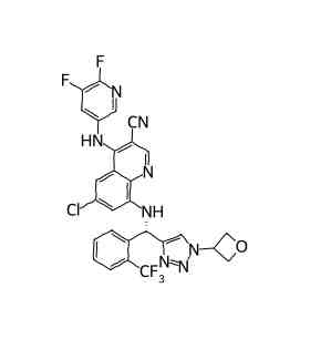 N#Cc1cnc2c(N[C@H](c3cn(C4COC4)nn3)c3ccccc3C(F)(F)F)cc(Cl)cc2c1Nc1cnc(F)c(F)c1